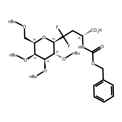 CCCCOC[C@H]1O[C@@H](C(F)(F)C[C@@H](NC(=O)OCc2ccccc2)C(=O)O)[C@H](OCCCC)[C@@H](OCCCC)[C@H]1OCCCC